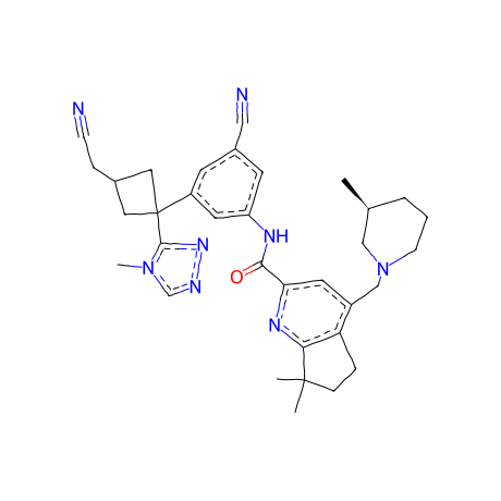 C[C@H]1CCCN(Cc2cc(C(=O)Nc3cc(C#N)cc(C4(c5nncn5C)CC(CC#N)C4)c3)nc3c2CCC3(C)C)C1